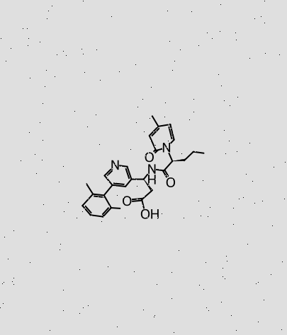 CCC[C@@H](C(=O)N[C@@H](CC(=O)O)c1cncc(-c2c(C)cccc2C)c1)n1ccc(C)cc1=O